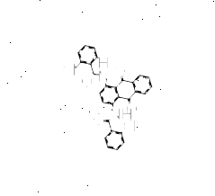 O=C(Nc1ccc(NC(=O)c2ccccc2Cl)c2c1C(=O)c1ccccc1C2=O)c1ccccc1Cl